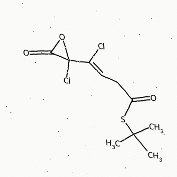 CC(C)(C)SC(=O)CC=C(Cl)C1(Cl)OC1=O